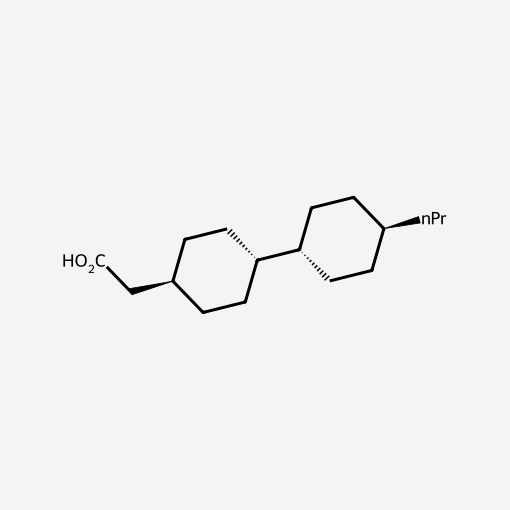 CCC[C@H]1CC[C@H]([C@H]2CC[C@H](CC(=O)O)CC2)CC1